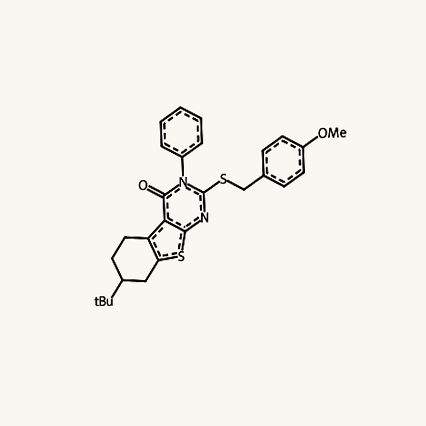 COc1ccc(CSc2nc3sc4c(c3c(=O)n2-c2ccccc2)CCC(C(C)(C)C)C4)cc1